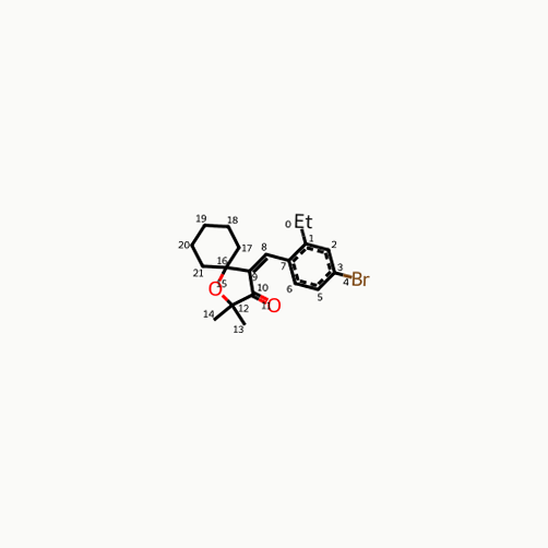 CCc1cc(Br)ccc1C=C1C(=O)C(C)(C)OC12CCCCC2